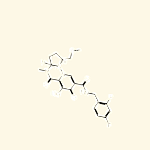 COC[C@@H]1CC[C@H]2N(C)C(=O)c3c(O)c(=O)c(C(=O)NCc4ccc(F)cc4F)cn3N12